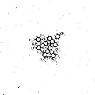 Cc1ccc(N2c3ccccc3C(c3ccc(N(c4c(C)c(C)cc(C)c4C)c4c(C)c(C)cc(C)c4C)cc3)(c3ccc(N(c4c(C)c(C)cc(C)c4C)c4c(C)c(C)cc(C)c4C)cc3)c3cc(C)ccc32)cc1